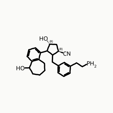 N#C[C@@H]1C[C@@H](O)C(c2cccc3c2CCCCC3O)C1Cc1cccc(CCP)c1